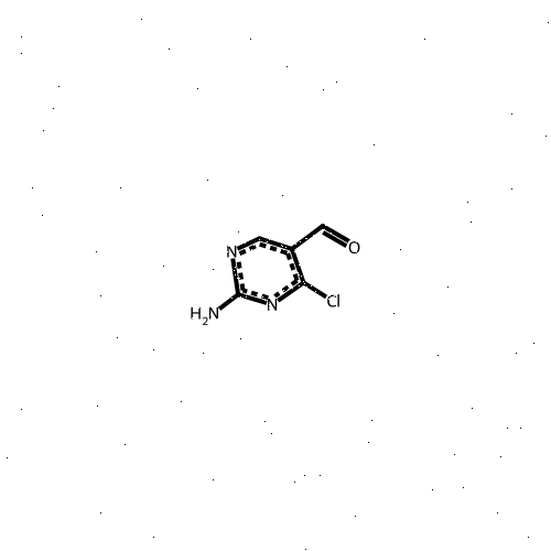 Nc1ncc(C=O)c(Cl)n1